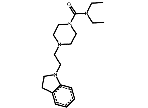 CCN(CC)C(=O)N1CCN(CCN2CCc3ccccc32)CC1